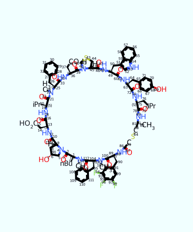 CCCC[C@H]1C(=O)N2C[C@H](O)C[C@@H]2C(=O)N[C@@H](CC(=O)O)C(=O)N[C@@H](C(C)C)C(=O)N(C)[C@@H](Cc2ccccc2)C(=O)N[C@@H](CC(=O)O)C(=O)N2CSC[C@@H]2C(=O)N[C@@H](Cc2c[nH]c3ccccc23)C(=O)N[C@@H](Cc2ccc(O)cc2)C(=O)N[C@@H](CC(C)C)C(=O)N[C@H](C)CSCC(=O)N[C@@H](Cc2cc(F)c(F)c(F)c2)C(=O)N(C)[C@@H](Cc2ccccc2)C(=O)N1C